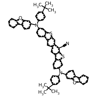 CC(C)(C)c1ccc(N(c2ccc3c(c2)oc2ccccc23)c2ccc3c(c2)sc2cc4c(C#N)c5sc6cc(N(c7ccc(C(C)(C)C)cc7)c7ccc8c(c7)oc7ccccc78)ccc6c5cc4cc23)cc1